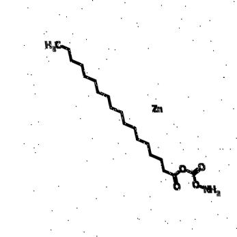 CCCCCCCCCCCCCCCCCC(=O)OC(=O)ON.[Zn]